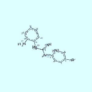 N=C(/N=c1/ccc(Br)c[nH]1)Nc1ccccc1N